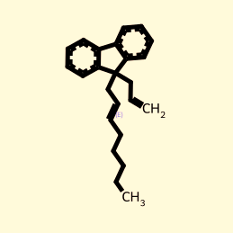 C=CCC1(C/C=C/CCCCC)c2ccccc2-c2ccccc21